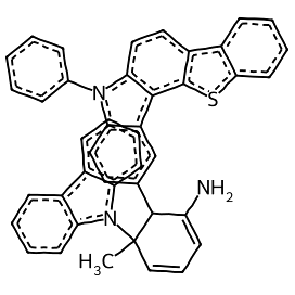 CC1(n2c3ccccc3c3ccccc32)C=CC=C(N)C1c1ccc2c(c1)c1c3sc4ccccc4c3ccc1n2-c1ccccc1